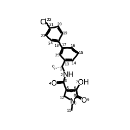 C[C@@H](NC(=O)C1=C(O)C(=O)N(C)C1)c1cccc(-c2ccc(Cl)cc2)c1